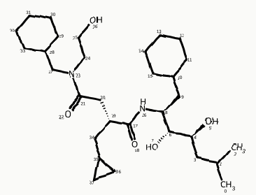 CC(C)C[C@H](O)[C@H](O)[C@H](CC1CCCCC1)NC(=O)[C@@H](CC(=O)N(CCO)CC1CCCCC1)CC1CC1